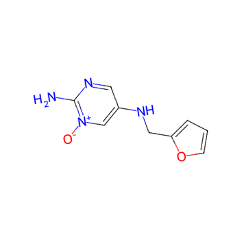 Nc1ncc(NCc2ccco2)c[n+]1[O-]